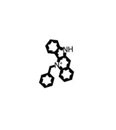 c1ccc(C[n+]2c3ccccc3cc3[nH]c4ccccc4c32)cc1